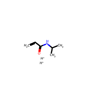 C=CC(=O)NC(C)C.[H+].[H+]